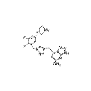 Nc1cc(Cc2cnn(Cc3cc([C@@H]4CCNC4)cc(F)c3F)c2)c2nn[nH]c2n1